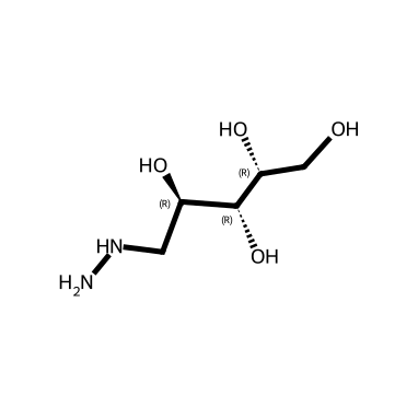 NNC[C@@H](O)[C@@H](O)[C@H](O)CO